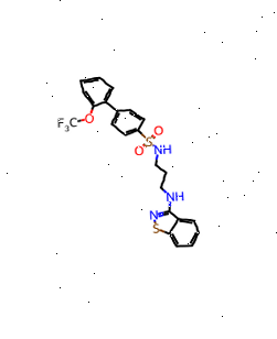 O=S(=O)(NCCCNc1nsc2ccccc12)c1ccc(-c2ccccc2OC(F)(F)F)cc1